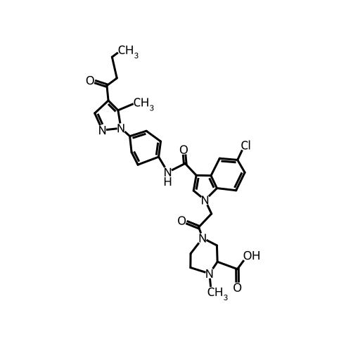 CCCC(=O)c1cnn(-c2ccc(NC(=O)c3cn(CC(=O)N4CCN(C)C(C(=O)O)C4)c4ccc(Cl)cc34)cc2)c1C